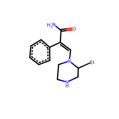 CCC1CNCCN1C=C(C(N)=O)c1ccccc1